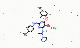 Cc1cc(C#N)cc(C)c1Oc1nc(Nc2ccc(C#N)cc2)nc(NC(C)N2CCCC2)c1Br.Cl